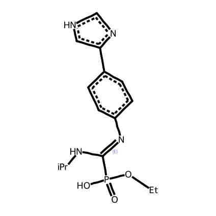 CCOP(=O)(O)/C(=N/c1ccc(-c2c[nH]cn2)cc1)NC(C)C